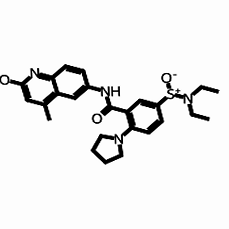 CCN(CC)[S+]([O-])c1ccc(N2CCCC2)c(C(=O)Nc2ccc3nc(O)cc(C)c3c2)c1